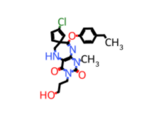 CCc1ccc(OC2=Nc3c(c(=O)n(CCCO)c(=O)n3C)NCC23C=CC(Cl)=C3)cc1